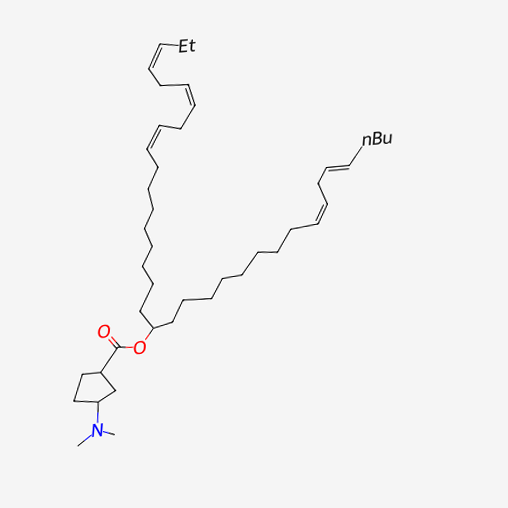 CC/C=C\C/C=C\C/C=C\CCCCCCCCC(CCCCCCCC/C=C\C/C=C/CCCC)OC(=O)C1CCC(N(C)C)C1